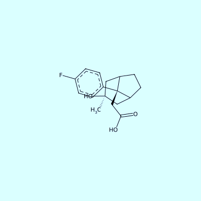 C[C@]1(O)CC2CCC(C1)[C@]2(CC(=O)O)c1ccc(F)cc1